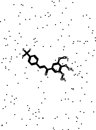 COc1cc(C(=O)/C=C/c2ccc(C(F)(F)F)cc2)cc(OC)c1OC